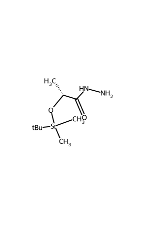 C[C@@H](O[Si](C)(C)C(C)(C)C)C(=O)NN